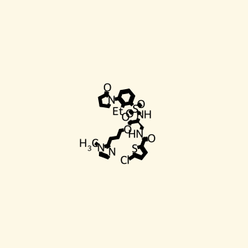 CCc1c(N2CCCC2=O)cccc1S(=O)(=O)N[C@@H](CNC(=O)c1ccc(Cl)s1)C(=O)OCCCc1nccn1C